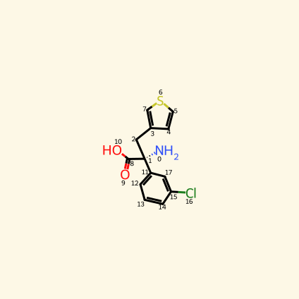 N[C@@](Cc1ccsc1)(C(=O)O)c1cccc(Cl)c1